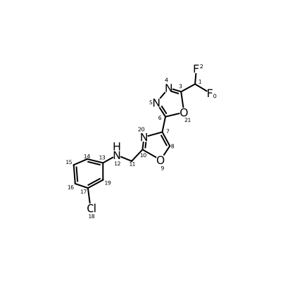 FC(F)c1nnc(-c2coc(CNc3cccc(Cl)c3)n2)o1